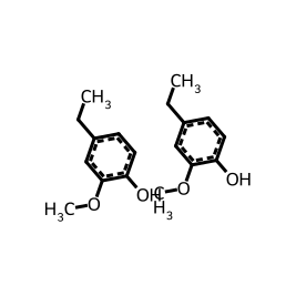 CCc1ccc(O)c(OC)c1.CCc1ccc(O)c(OC)c1